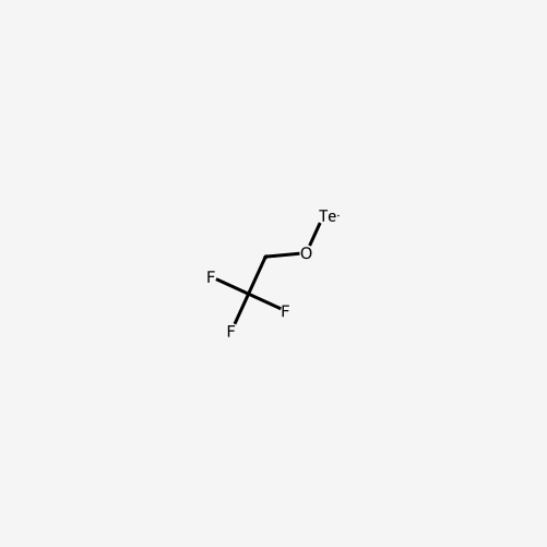 FC(F)(F)CO[Te]